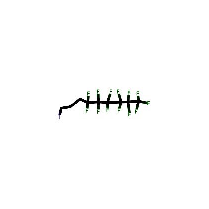 FC(F)(F)C(F)(F)C(F)(F)C(F)(F)C(F)(F)C(F)(F)[CH]CCI